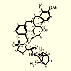 COc1ccc(Cl)c(CN(Cc2cccc(CN3C(C(=O)N[C@H]4CC5CCC4(C)C5(C)C)CCS3(=O)=O)c2)[C@H](CN(C)C)CC(C)(C)C)c1F